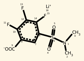 CN(C)S(=O)(=O)c1cc(C(=O)[O-])c(F)c(F)c1F.[Li+]